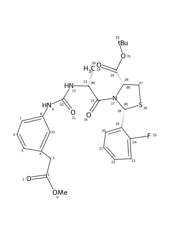 COC(=O)Cc1cccc(NC(=O)N[C@H](C)C(=O)N2[C@@H](c3ccccc3F)SC[C@H]2C(=O)OC(C)(C)C)c1